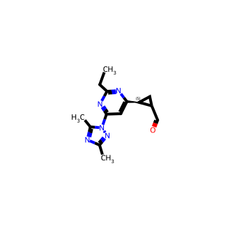 CCc1nc([C@H]2CC2C=O)cc(-n2nc(C)nc2C)n1